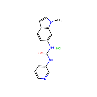 Cl.Cn1ccc2ccc(NC(=O)Nc3cccnc3)cc21